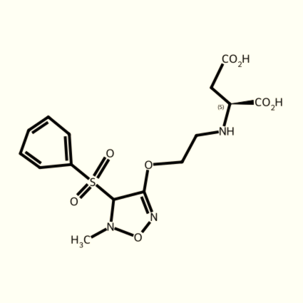 CN1ON=C(OCCN[C@@H](CC(=O)O)C(=O)O)C1S(=O)(=O)c1ccccc1